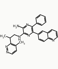 Cc1ccnnc1C(C)CNc1nc(-c2ccc3ncccc3c2)c(-c2ccccc2)nc1N